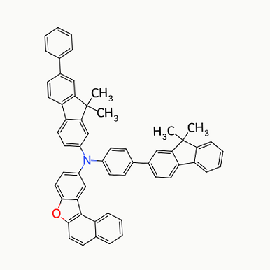 CC1(C)c2ccccc2-c2ccc(-c3ccc(N(c4ccc5c(c4)C(C)(C)c4cc(-c6ccccc6)ccc4-5)c4ccc5oc6ccc7ccccc7c6c5c4)cc3)cc21